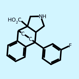 O=C(O)C12CNCC1C1(c3cccc(F)c3)CCC2c2ccccc21